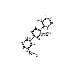 Cc1ccccc1-c1ccc(-c2cccc(N)c2)cc1S